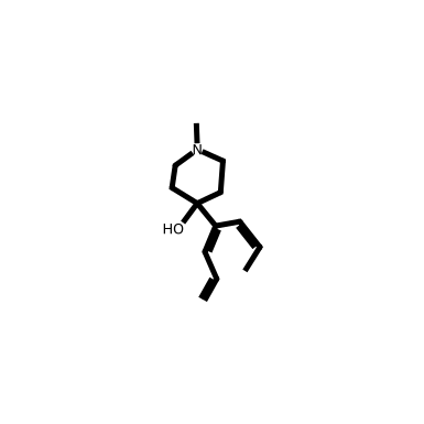 C=C/C=C(\C=C/C)C1(O)CCN(C)CC1